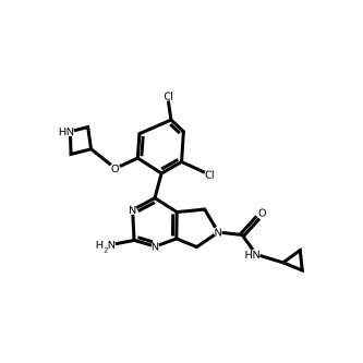 Nc1nc2c(c(-c3c(Cl)cc(Cl)cc3OC3CNC3)n1)CN(C(=O)NC1CC1)C2